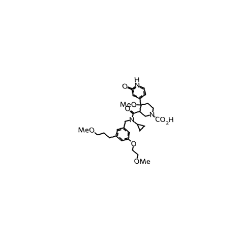 COCCCc1cc(CN(C(=O)C2CN(C(=O)O)CCC2(OC)c2cc[nH]c(=O)c2)C2CC2)cc(OCCOC)c1